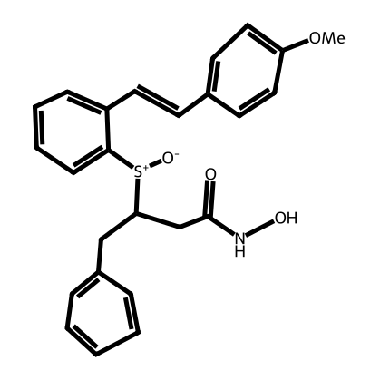 COc1ccc(C=Cc2ccccc2[S+]([O-])C(CC(=O)NO)Cc2ccccc2)cc1